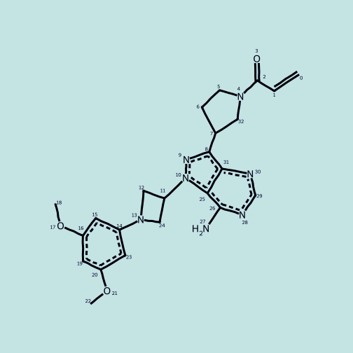 C=CC(=O)N1CCC(c2nn(C3CN(c4cc(OC)cc(OC)c4)C3)c3c(N)ncnc23)C1